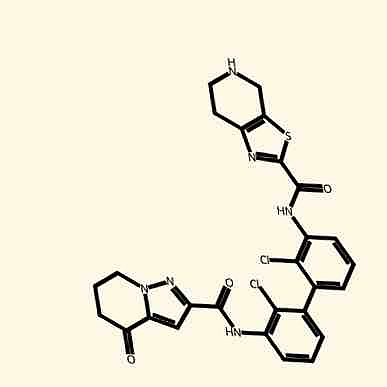 O=C(Nc1cccc(-c2cccc(NC(=O)c3nc4c(s3)CNCC4)c2Cl)c1Cl)c1cc2n(n1)CCCC2=O